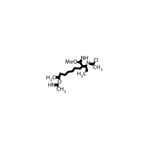 C=CC(/N=C(\C)Cl)=C(\CCCCCCC(=C)OC(C)=N)C(=N)OC